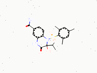 Cc1cc(C)c(S(=O)(=O)N2c3ccc(C(N)=O)cc3NC(=O)C2(O)C(C)C)c(C)c1